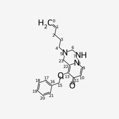 C=CCCCN1CNn2ccc(=O)c(OCc3ccccc3)c2C1